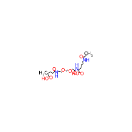 CCC(=O)NCCCCC(NC(=O)COCCOCCNC(=O)CCC(C)C(=O)O)C(=O)O